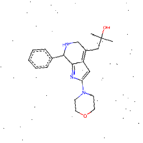 CC(C)(O)CC1=C2C=C(N3CCOCC3)N=C2C(c2ccccc2)NC1